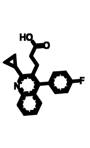 O=C(O)CCc1c(C2CC2)nc2ccccc2c1-c1ccc(F)cc1